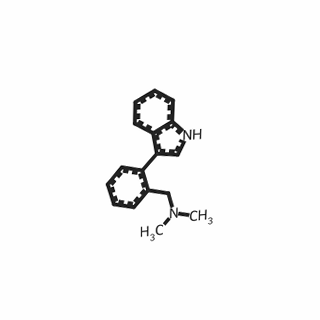 CN(C)Cc1ccccc1-c1c[nH]c2ccccc12